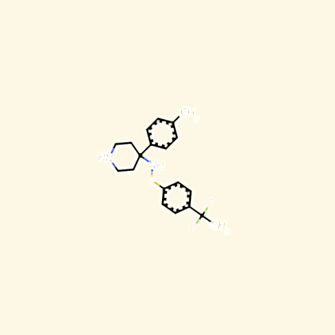 Cc1ccc(C2(NSc3ccc(C(C)(F)F)cc3)CCNCC2)cc1